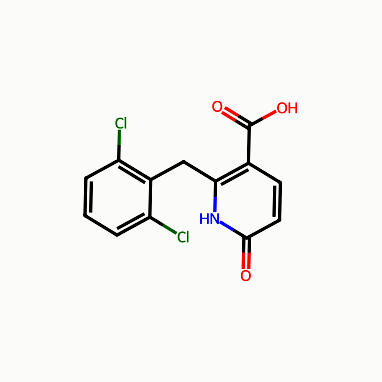 O=C(O)c1ccc(=O)[nH]c1Cc1c(Cl)cccc1Cl